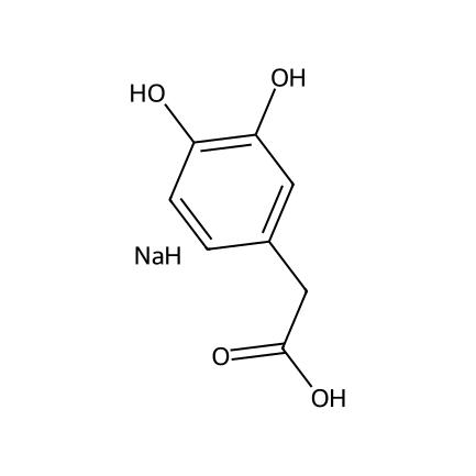 O=C(O)Cc1ccc(O)c(O)c1.[NaH]